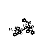 CC(C)(C)OC(=O)N[C@H](CCCO[P@](=O)(NC(CCC(=O)OCc1ccccc1)C(=O)OCc1ccccc1)OCc1ccccc1)C(=O)OCc1ccccc1